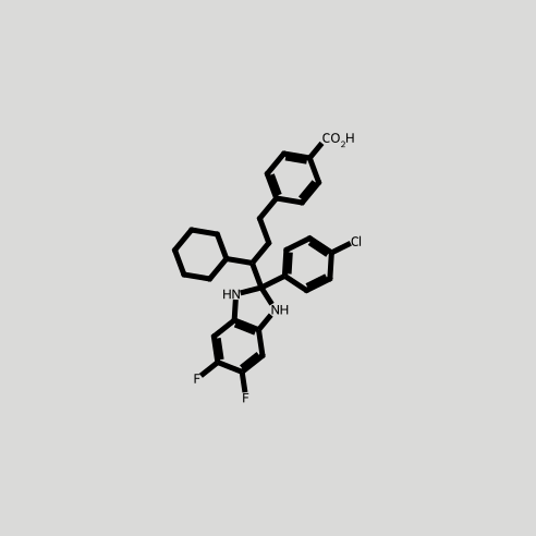 O=C(O)c1ccc(CCC(C2CCCCC2)C2(c3ccc(Cl)cc3)Nc3cc(F)c(F)cc3N2)cc1